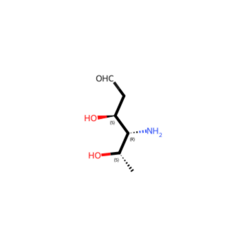 C[C@H](O)[C@@H](N)[C@@H](O)CC=O